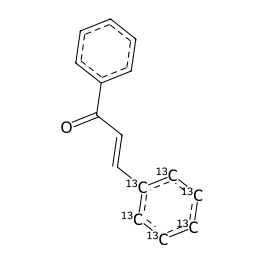 O=C(/C=C/[13c]1[13cH][13cH][13cH][13cH][13cH]1)c1ccccc1